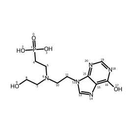 O=P(O)(O)CCN(CCO)CCn1cnc2c(O)ncnc21